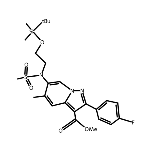 COC(=O)c1c(-c2ccc(F)cc2)nn2cc(N(CCO[Si](C)(C)C(C)(C)C)S(C)(=O)=O)c(C)cc12